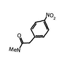 CNC(=O)Cc1ccc([N+](=O)[O-])cc1